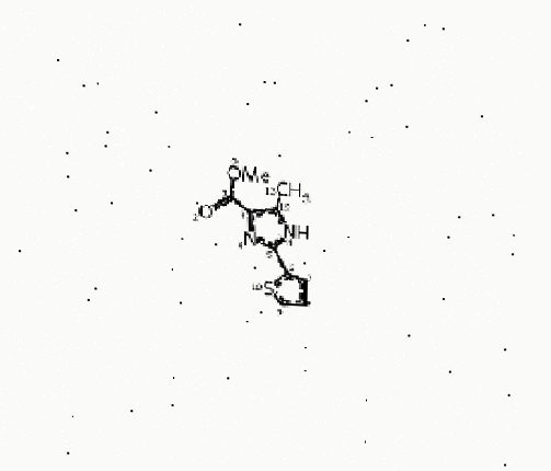 COC(=O)c1nc(-c2cccs2)[nH]c1C